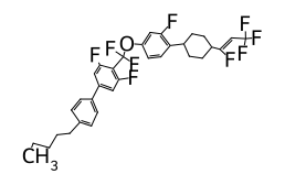 CCCCCc1ccc(-c2cc(F)c(C(F)(F)Oc3ccc(C4CCC(/C(F)=C/C(F)(F)F)CC4)c(F)c3)c(F)c2)cc1